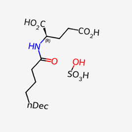 CCCCCCCCCCCCCC(=O)N[C@H](CCC(=O)O)C(=O)O.O=S(=O)(O)O